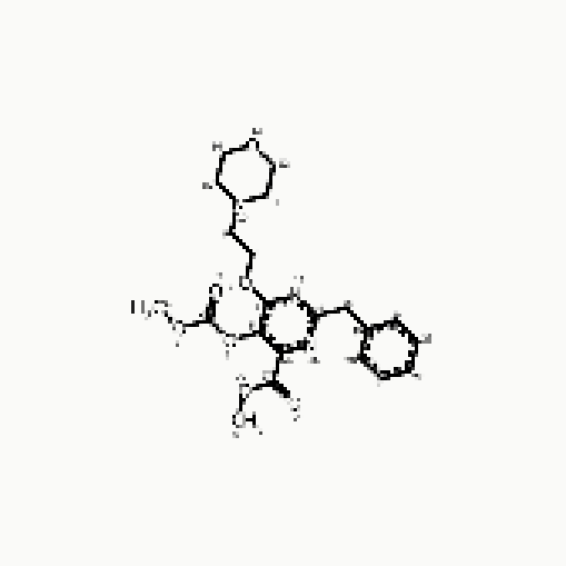 COC(=O)Oc1c(OCCN2CCOCC2)nc(Cc2ccccc2)nc1C(=O)OC